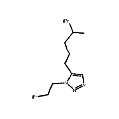 CC(C)CCn1nncc1CCCC(C)C(C)C